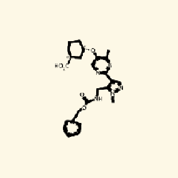 Cc1nc(-c2cnn(C)c2CNC(=O)OCc2ccccc2)ncc1O[C@H]1CCC[C@H](C(=O)O)C1